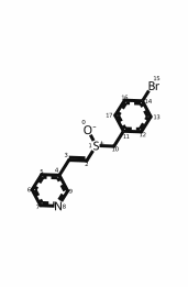 [O-][S+](/C=C/c1cccnc1)Cc1ccc(Br)cc1